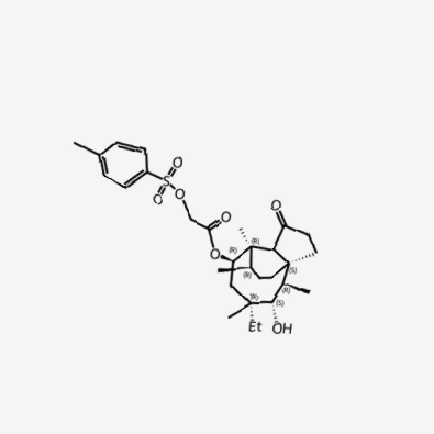 CC[C@]1(C)C[C@@H](OC(=O)COS(=O)(=O)c2ccc(C)cc2)[C@@]2(C)C3C(=O)CC[C@@]3(CC[C@H]2C)[C@@H](C)[C@@H]1O